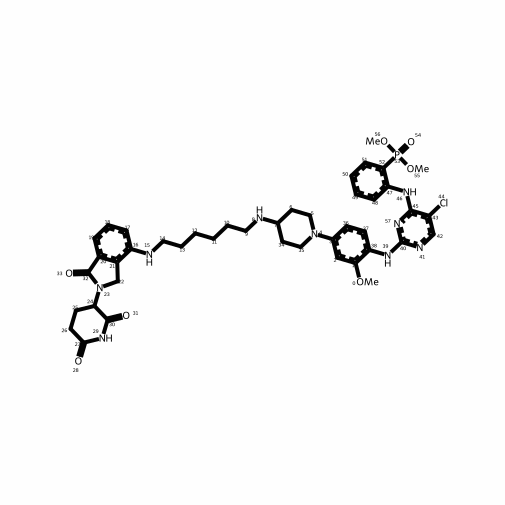 COc1cc(N2CCC(NCCCCCCNc3cccc4c3CN(C3CCC(=O)NC3=O)C4=O)CC2)ccc1Nc1ncc(Cl)c(Nc2ccccc2P(=O)(OC)OC)n1